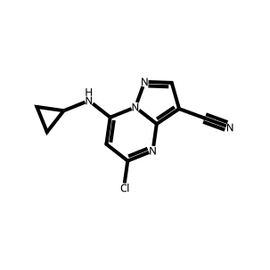 N#Cc1cnn2c(NC3CC3)cc(Cl)nc12